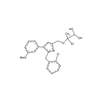 CCC(C)(OCc1cc(-c2cccc(OC)c2)n(Cc2ccccc2Cl)n1)C(O)O